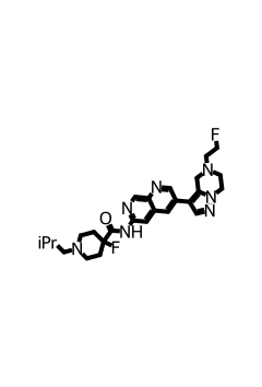 CC(C)CN1CCC(F)(C(=O)Nc2cc3cc(-c4cnn5c4CN(CCF)CC5)cnc3cn2)CC1